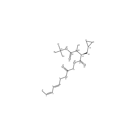 C/C=C\C=C\COC(=O)COC(=O)[C@H](CC1CC1)N(C)C(=O)OC(C)(C)C